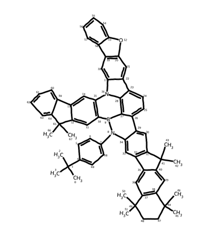 CC(C)(C)c1ccc(N2B3c4cc5c(cc4-n4c6cc7c(cc6c6ccc(c3c64)-c3cc4c(cc32)-c2cc3c(cc2C4(C)C)C(C)(C)CCC3(C)C)oc2ccccc27)-c2ccccc2C5(C)C)cc1